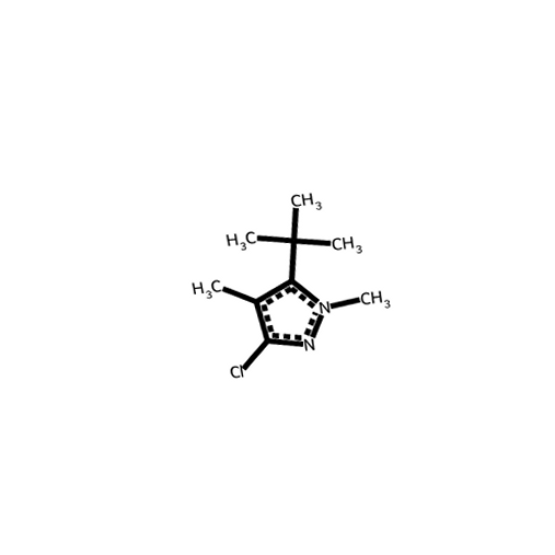 Cc1c(Cl)nn(C)c1C(C)(C)C